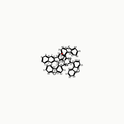 c1ccc2cc3c(cc2c1)c1ccccc1n3-c1c(-c2nc(-c3cccc4oc5ccccc5c34)nc(-c3cccc4sc5ccccc5c34)n2)ccc2oc3ccccc3c12